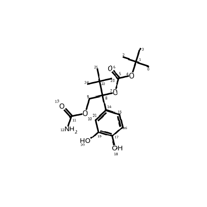 CC(C)(C)OC(=O)OC(COC(N)=O)(c1ccc(O)c(O)c1)C(C)(C)C